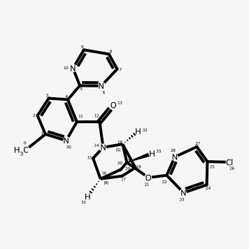 Cc1ccc(-c2ncccn2)c(C(=O)N2C[C@@H]3CC[C@H]2[C@H](Oc2ncc(Cl)cn2)C3)n1